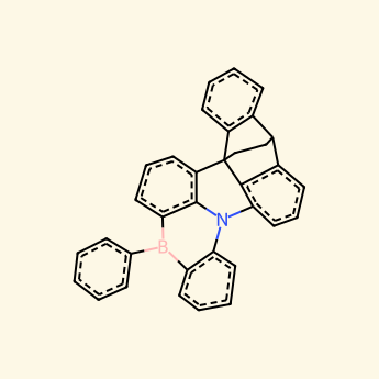 c1ccc(B2c3ccccc3N3c4cccc5c4C4(CCC5c5ccccc54)c4cccc2c43)cc1